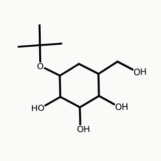 CC(C)(C)OC1CC(CO)C(O)C(O)C1O